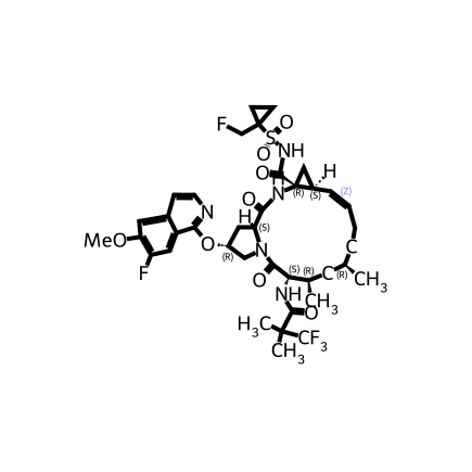 COc1cc2ccnc(O[C@@H]3C[C@H]4C(=O)N[C@]5(C(=O)NS(=O)(=O)C6(CF)CC6)C[C@H]5/C=C\CC[C@@H](C)C[C@@H](C)[C@H](NC(=O)C(C)(C)C(F)(F)F)C(=O)N4C3)c2cc1F